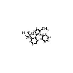 Cc1ccc(-c2ccccc2S(N)(=O)=O)n1-c1ccccc1